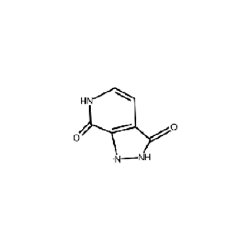 O=C1N[N]c2c1cc[nH]c2=O